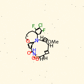 CO[C@H]1C2=CC(C2)[C@H](C)[C@@H](C)S(=O)(=O)NC(=O)c2ccc3c(c2)N(Cc2cc(F)c(Cl)c(F)c2CCCCO3)C[C@@H]2CC[C@H]21